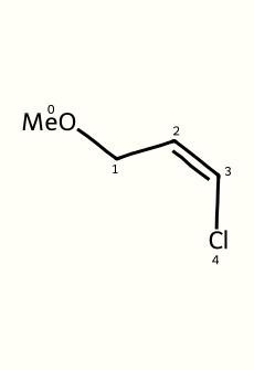 COC/C=C\Cl